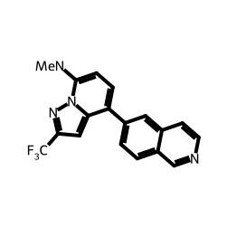 CNc1ccc(-c2ccc3cnccc3c2)c2cc(C(F)(F)F)nn12